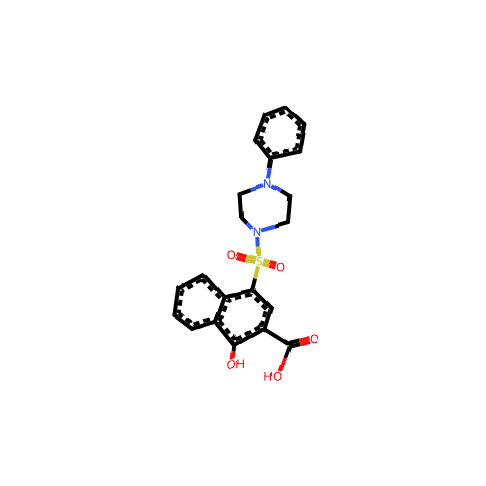 O=C(O)c1cc(S(=O)(=O)N2CCN(c3ccccc3)CC2)c2ccccc2c1O